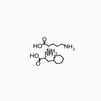 NCCC[C@H](N)C(=O)O.N[C@@H](CC1CCCCC1)C(=O)O